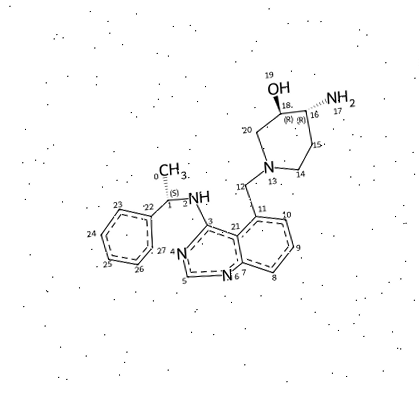 C[C@H](Nc1ncnc2cccc(CN3CC[C@@H](N)[C@H](O)C3)c12)c1ccccc1